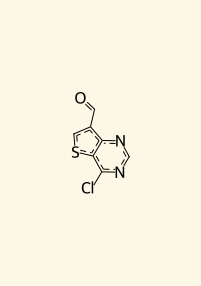 O=Cc1csc2c(Cl)ncnc12